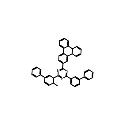 CC1C=CC(c2ccccc2)=CC1c1nc(-c2cccc(-c3ccccc3)c2)nc(-c2ccc3c(c2)C2C=CC=CC2c2ccccc2-3)n1